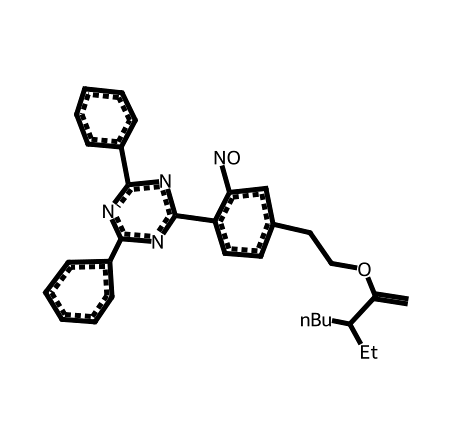 C=C(OCCc1ccc(-c2nc(-c3ccccc3)nc(-c3ccccc3)n2)c(N=O)c1)C(CC)CCCC